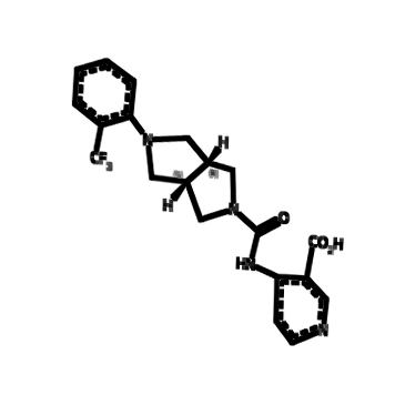 O=C(O)c1cnccc1NC(=O)N1C[C@@H]2CN(c3ccccc3C(F)(F)F)C[C@@H]2C1